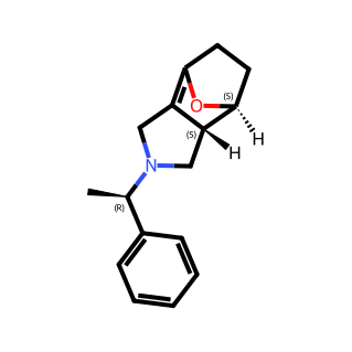 C[C@H](c1ccccc1)N1CC2=C3CC[C@H](O3)[C@@H]2C1